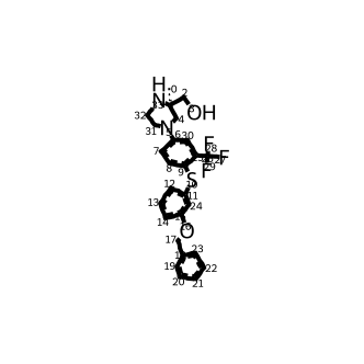 C[C@]1(CO)CN(c2ccc(Sc3cccc(OCc4ccccc4)c3)c(C(F)(F)F)c2)CCN1